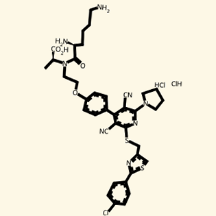 C[C@@H](C(=O)O)N(CCOc1ccc(-c2c(C#N)c(SCc3csc(-c4ccc(Cl)cc4)n3)nc(N3CCCC3)c2C#N)cc1)C(=O)[C@@H](N)CCCCN.Cl.Cl